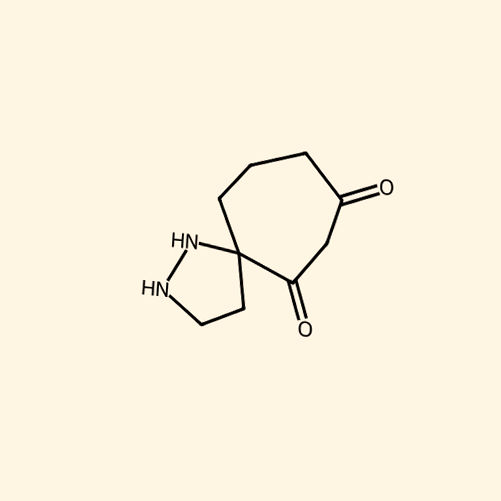 O=C1CCCC2(CCNN2)C(=O)C1